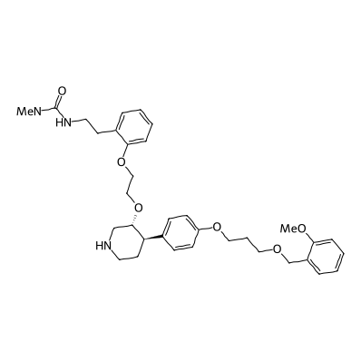 CNC(=O)NCCc1ccccc1OCCO[C@H]1CNCC[C@@H]1c1ccc(OCCCOCc2ccccc2OC)cc1